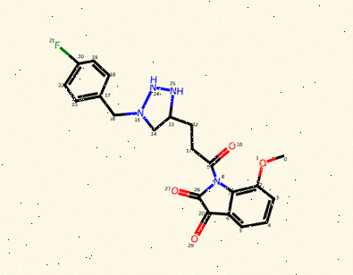 COc1cccc2c1N(C(=O)CCC1CN(Cc3ccc(F)cc3)NN1)C(=O)C2=O